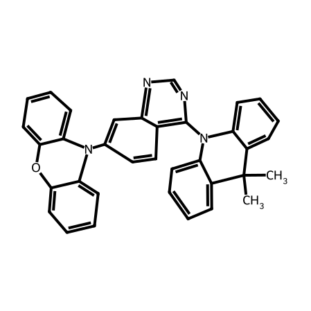 CC1(C)c2ccccc2N(c2ncnc3cc(N4c5ccccc5Oc5ccccc54)ccc23)c2ccccc21